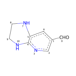 O=Cc1cnc2c(c1)NCCN2